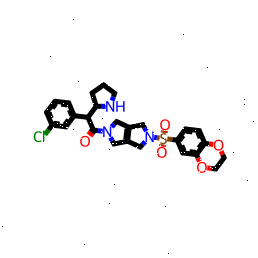 O=C(C(c1cccc(Cl)c1)C1CCCN1)N1CC2=C(C1)CN(S(=O)(=O)c1ccc3c(c1)OCCO3)C2